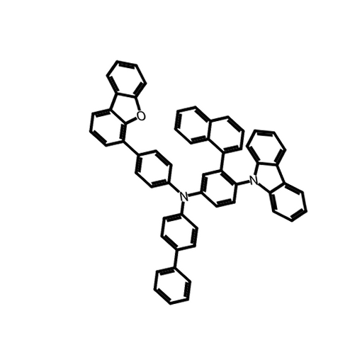 c1ccc(-c2ccc(N(c3ccc(-c4cccc5c4oc4ccccc45)cc3)c3ccc(-n4c5ccccc5c5ccccc54)c(-c4cccc5ccccc45)c3)cc2)cc1